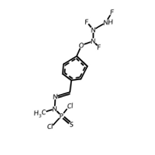 CN(N=Cc1ccc(ON(F)N(F)NF)cc1)P(=S)(Cl)Cl